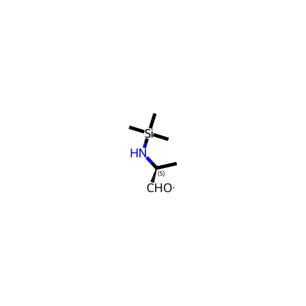 C[C@@H]([C]=O)N[Si](C)(C)C